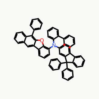 c1ccc(-c2ccccc2N(c2ccc3c(c2)C(c2ccccc2)(c2ccccc2)c2ccccc2-3)c2cccc3c2oc2c(-c4ccccc4)c4ccccc4cc23)cc1